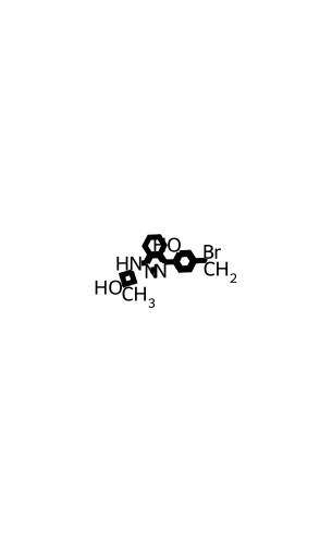 C=C(Br)c1ccc(-c2nnc(NC3CC(C)(O)C3)c3c2CCCC3)c(O)c1